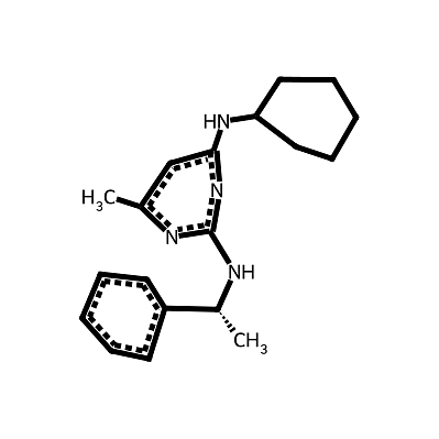 Cc1cc(NC2CCCCC2)nc(N[C@H](C)c2ccccc2)n1